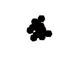 c1ccc(N(c2ccccc2)c2cccc3c4cc5ccccc5c5c6c7c8cc9ccccc9c9c%10cccc(N(c%11ccccc%11)c%11ccccc%11)c%10n(c7ncc6n(c23)c45)c89)cc1